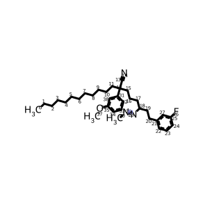 CCCCCCCCCCCCC(C#N)(CCCC(CCc1cccc(F)c1)/N=N/C)c1cccc(OC)c1